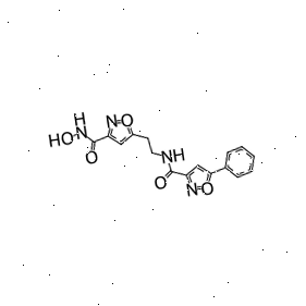 O=C(NO)c1cc(CCNC(=O)c2cc(-c3ccccc3)on2)on1